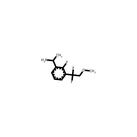 COCC(F)(F)c1cccc(C(C)N)c1F